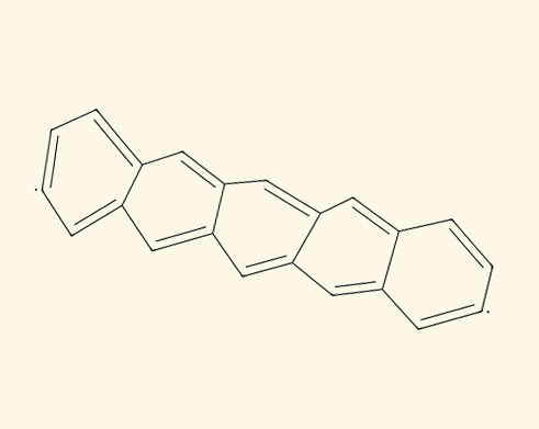 [c]1ccc2cc3cc4cc5cc[c]cc5cc4cc3cc2c1